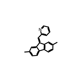 Cc1ccc2c(c1)C(=Cc1ccccn1)c1cc(C)ccc1-2